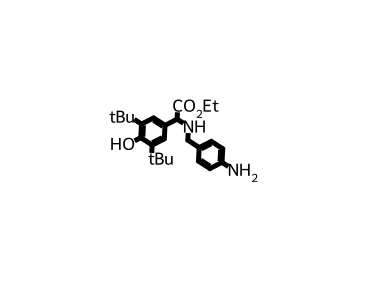 CCOC(=O)C(NCc1ccc(N)cc1)c1cc(C(C)(C)C)c(O)c(C(C)(C)C)c1